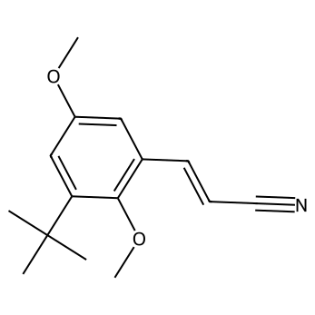 COc1cc(/C=C/C#N)c(OC)c(C(C)(C)C)c1